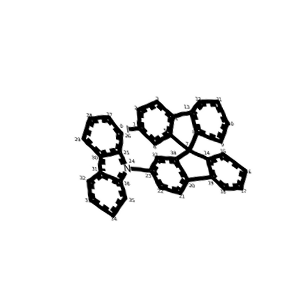 Ic1ccc2c(c1)C1(c3ccccc3-2)c2ccccc2-c2ccc(-n3c4ccccc4c4ccccc43)cc21